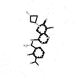 C[C@H](Nc1ncnc2c(Br)c(=O)n([C@H]3C[C@@H](F)C3)cc12)c1cccc(C(F)F)c1F